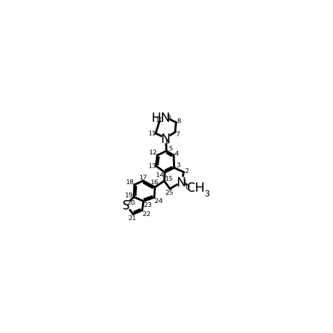 CN1Cc2cc(N3CCNCC3)ccc2C(c2ccc3sccc3c2)C1